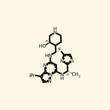 CC(C)c1cnn2c(N[C@@H](C)c3nc(F)cs3)cc(NCC3CCNC[C@@H]3O)nc12